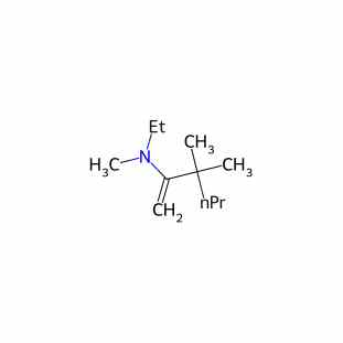 C=C(N(C)CC)C(C)(C)CCC